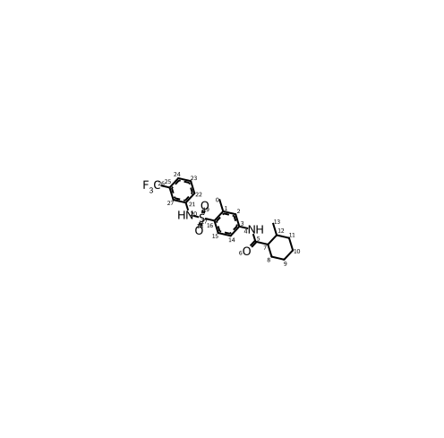 Cc1cc(NC(=O)C2CCCCC2C)ccc1S(=O)(=O)Nc1cccc(C(F)(F)F)c1